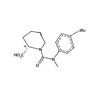 CN(C(=O)N1CCCC[C@H]1C(=O)O)c1ccc(C(C)(C)C)cc1